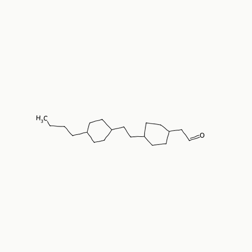 CCCCC1CCC(CCC2CCC(CC=O)CC2)CC1